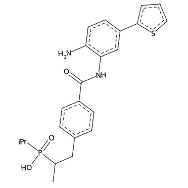 CC(C)P(=O)(O)C(C)Cc1ccc(C(=O)Nc2cc(-c3cccs3)ccc2N)cc1